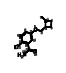 CN1CC[C@H]1COc1cnc(Cl)c(C(N)=O)c1